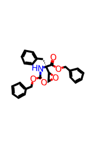 O=C(N[C@@](Cc1ccccc1)(C(=O)OCc1ccccc1)C1CO1)OCc1ccccc1